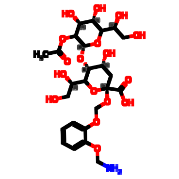 CC(=O)OC1[C@@H](O[C@H]2C([C@H](O)CO)O[C@@](OCOc3ccccc3OCN)(C(=O)O)C[C@H]2O)OC([C@@H](O)CO)[C@@H](O)[C@@H]1O